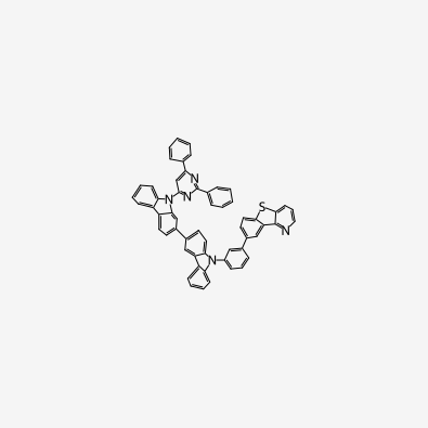 c1ccc(-c2cc(-n3c4ccccc4c4ccc(-c5ccc6c(c5)c5ccccc5n6-c5cccc(-c6ccc7sc8cccnc8c7c6)c5)cc43)nc(-c3ccccc3)n2)cc1